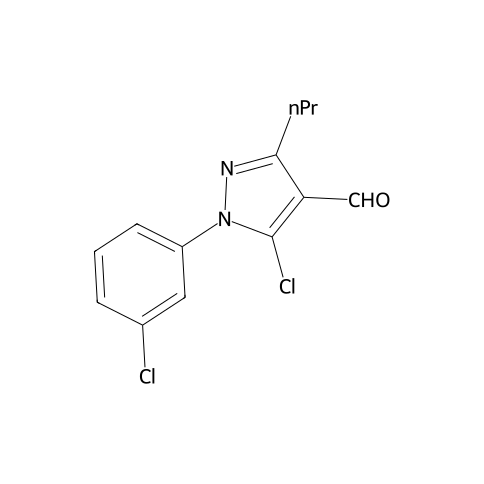 CCCc1nn(-c2cccc(Cl)c2)c(Cl)c1C=O